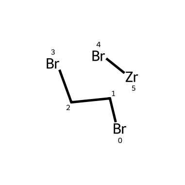 BrCCBr.[Br][Zr]